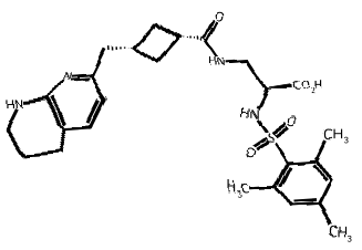 Cc1cc(C)c(S(=O)(=O)N[C@@H](CNC(=O)[C@H]2C[C@@H](Cc3ccc4c(n3)NCCC4)C2)C(=O)O)c(C)c1